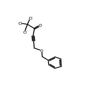 O=C(C#CCOCc1ccccc1)C(Cl)(Cl)Cl